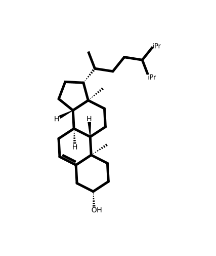 CC(C)C(CCC(C)[C@H]1CC[C@H]2[C@@H]3CC=C4C[C@@H](O)CC[C@]4(C)[C@H]3CC[C@]12C)C(C)C